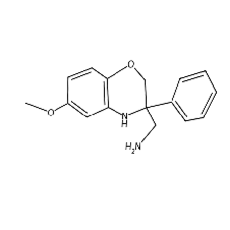 COc1ccc2c(c1)NC(CN)(c1ccccc1)CO2